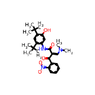 CN(C)/C=C(\C(=O)Nc1cc(O)c(C(C)(C)C)cc1C(C)(C)C)C(=O)c1ccccc1[N+](=O)[O-]